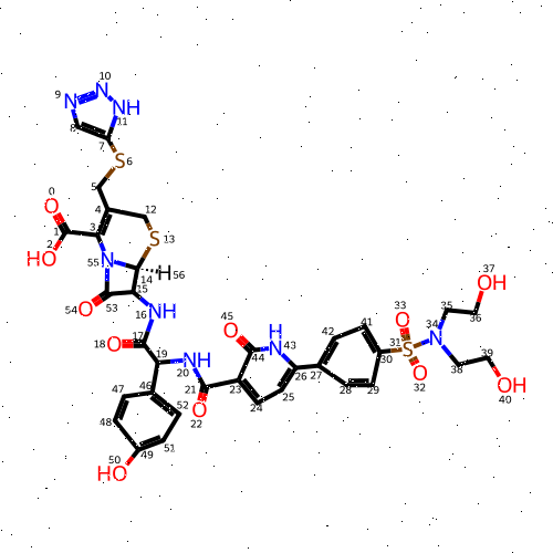 O=C(O)C1=C(CSc2cnn[nH]2)CS[C@H]2C(NC(=O)C(NC(=O)c3ccc(-c4ccc(S(=O)(=O)N(CCO)CCO)cc4)[nH]c3=O)c3ccc(O)cc3)C(=O)N12